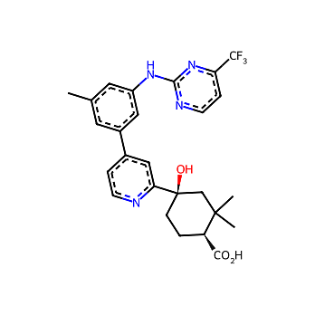 Cc1cc(Nc2nccc(C(F)(F)F)n2)cc(-c2ccnc([C@@]3(O)CC[C@H](C(=O)O)C(C)(C)C3)c2)c1